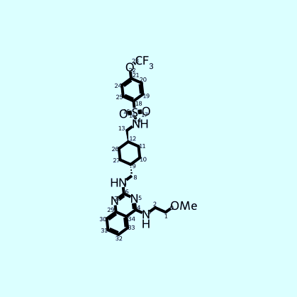 COCCNc1nc(NC[C@H]2CC[C@H](CNS(=O)(=O)c3ccc(OC(F)(F)F)cc3)CC2)nc2ccccc12